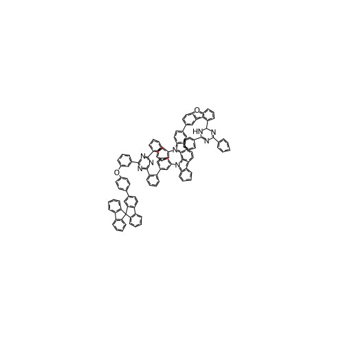 c1ccc(C2=NC(c3cccc4oc5ccc(-c6ccc7c(c6)c6ccc8c9ccccc9n(-c9cccc(-c%10ccccc%10-c%10nc(-c%11ccccc%11)nc(-c%11cccc(Oc%12ccc(-c%13ccc%14c(c%13)C%13(c%15ccccc%15-c%15ccccc%15%13)c%13ccccc%13-%14)cc%12)c%11)n%10)c9)c8c6n7-c6ccccc6)cc5c34)NC(c3ccccc3)=N2)cc1